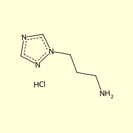 Cl.NCCCn1cncn1